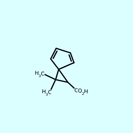 CC1(C)C(C(=O)O)C12C=CC=C2